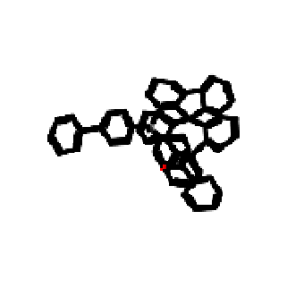 c1ccc(-c2ccc(N(c3ccc(-c4ccccc4)cc3)c3cccc4c3C3(c5ccccc5-c5ccccc5-c5ccccc53)c3ccccc3-4)cc2)cc1